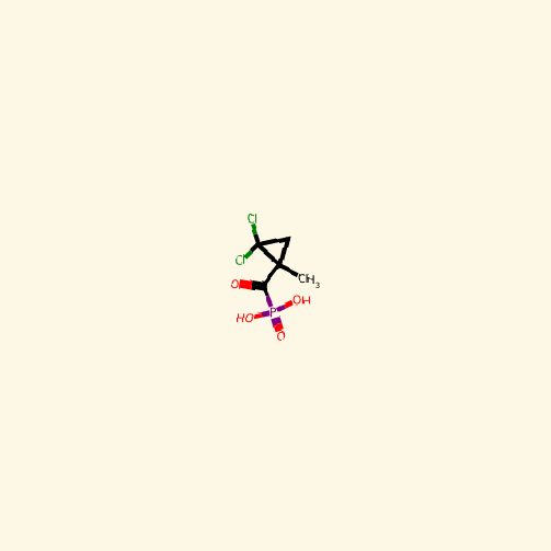 CC1(C(=O)P(=O)(O)O)CC1(Cl)Cl